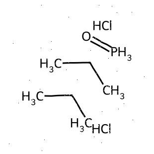 CCC.CCC.Cl.Cl.O=[PH3]